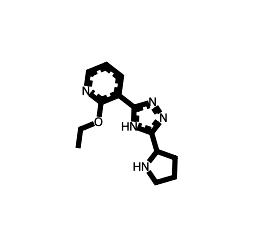 CCOc1ncccc1-c1nnc(C2CCCN2)[nH]1